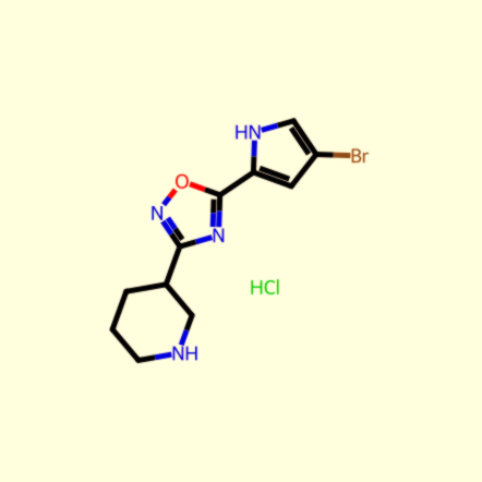 Brc1c[nH]c(-c2nc(C3CCCNC3)no2)c1.Cl